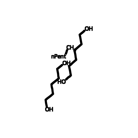 CCCCCC.OCCCCCCO.OCCCCCO